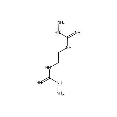 N=C(NN)NCCNC(=N)NN